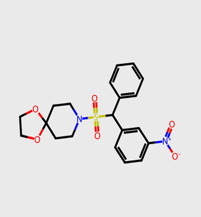 O=[N+]([O-])c1cccc(C(c2ccccc2)S(=O)(=O)N2CCC3(CC2)OCCO3)c1